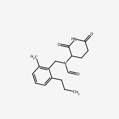 CCCc1cccc(C)c1CN(C=O)C1CCC(=O)NC1=O